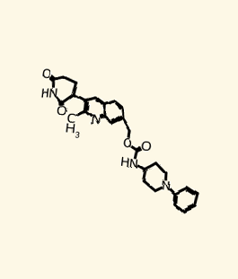 Cc1nc2cc(COC(=O)NC3CCN(c4ccccc4)CC3)ccc2cc1C1CCC(=O)NC1=O